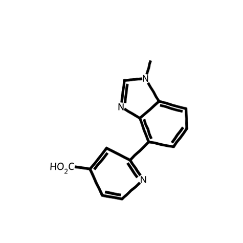 Cn1cnc2c(-c3cc(C(=O)O)ccn3)cccc21